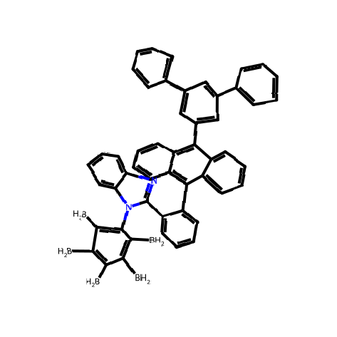 Bc1c(B)c(B)c(-n2c(-c3ccccc3-c3c4ccccc4c(-c4cc(-c5ccccc5)cc(-c5ccccc5)c4)c4ccccc34)nc3ccccc32)c(B)c1B